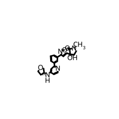 CN1CC[C@@](O)(c2cc(-c3cccc(-c4cc(N[C@H]5CCOC5)ccn4)c3)no2)C1=O